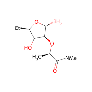 B[C@@H]1O[C@H](CC)C(O)[C@@H]1O[C@H](C)C(=O)NC